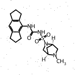 CN1C[C@H]2C[C@@H]1CN2S(=O)(=O)NC(=O)Nc1c2c(cc3c1CCC3)CCC2